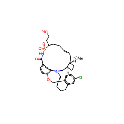 CO[C@H]1/C=C/CCC(CCO)S(=O)(=O)NC(=O)c2ccc3c(c2)N(C[C@@H]2CC[C@H]21)C[C@@]1(CCCc2cc(Cl)ccc21)CO3